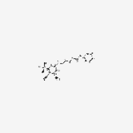 N#Cc1c(C(F)(F)F)cc(OCCCCOCc2ccccc2)nc1N